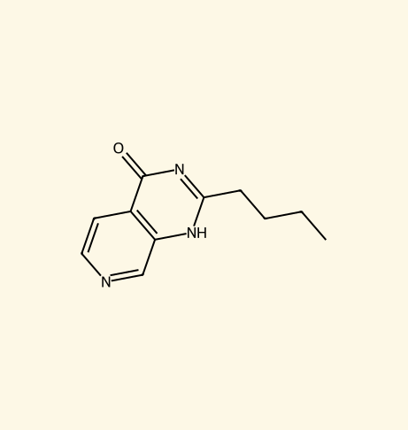 CCCCc1nc(=O)c2ccncc2[nH]1